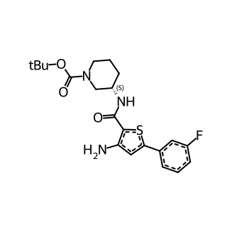 CC(C)(C)OC(=O)N1CCC[C@H](NC(=O)c2sc(-c3cccc(F)c3)cc2N)C1